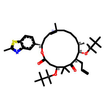 C=CC[C@H]1C(=O)C(C)(C)[C@@H](O[Si](C)(C)C(C)(C)C)CC(=O)O[C@H](c2ccc3sc(C)nc3c2)C/C=C(/C)CCC[C@H](C)[C@@H]1O[Si](C)(C)C(C)(C)C